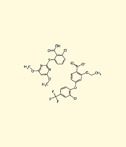 CCOc1cc(Oc2ccc(C(F)(F)F)cc2Cl)ccc1[N+](=O)[O-].COc1cc(OC)nc(Sc2cccc(Cl)c2C(=O)O)n1